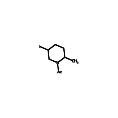 CC(=O)N1CC(I)CCC1C